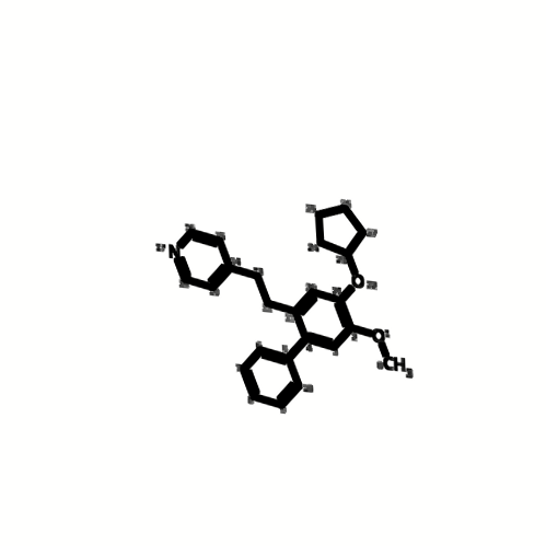 COc1cc(-c2ccccc2)c(CCc2ccncc2)cc1OC1CCCC1